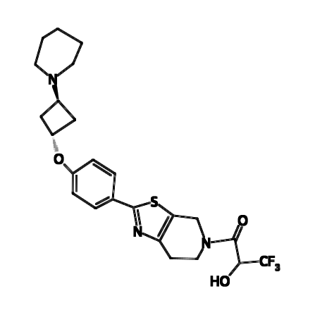 O=C(C(O)C(F)(F)F)N1CCc2nc(-c3ccc(O[C@H]4C[C@H](N5CCCCC5)C4)cc3)sc2C1